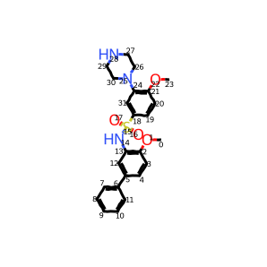 COc1ccc(-c2ccccc2)cc1NS(=O)(=O)c1ccc(OC)c(N2CCNCC2)c1